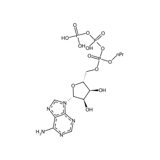 CCCOP(=O)(OC[C@H]1O[C@@H](n2cnc3c(N)ncnc32)[C@H](O)[C@@H]1O)OP(=O)(O)OP(=O)(O)O